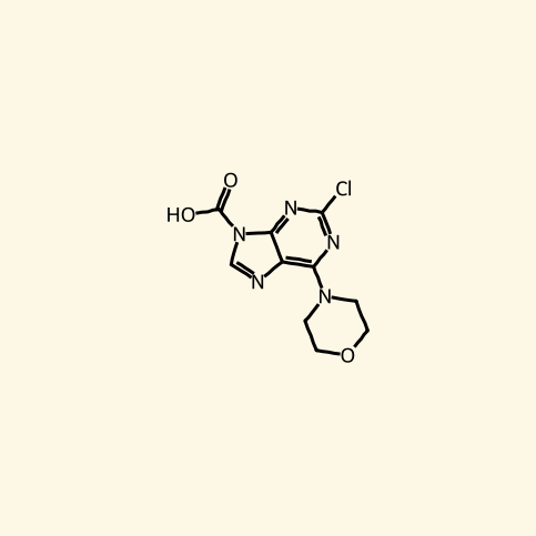 O=C(O)n1cnc2c(N3CCOCC3)nc(Cl)nc21